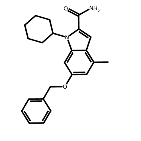 Cc1cc(OCc2ccccc2)cc2c1cc(C(N)=O)n2C1CCCCC1